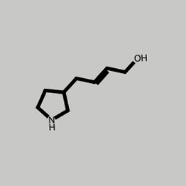 OCC=CCC1CCNC1